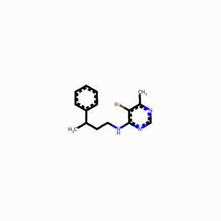 Cc1ncnc(NCCC(C)c2ccccc2)c1Br